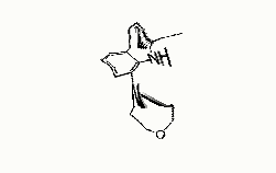 Cc1cc2cccc(N3CCOCC3)c2[nH]1